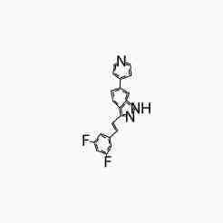 Fc1cc(F)cc(/C=C/c2n[nH]c3cc(-c4ccncc4)ccc23)c1